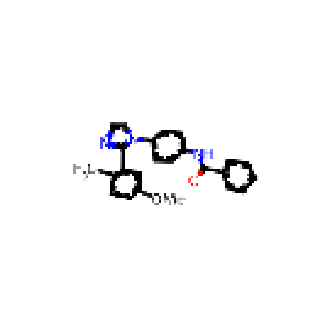 COc1ccc(C(F)(F)F)c(-c2nccn2-c2ccc(NC(=O)c3ccccc3)cc2)c1